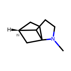 CN1CCC2[C@H]3CCC21C3